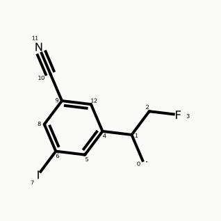 [CH2]C(CF)c1cc(I)cc(C#N)c1